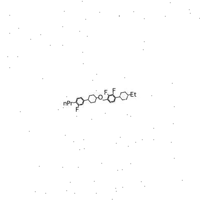 CCCc1ccc(C2CCC(OCc3ccc(C4CCC(CC)CC4)c(F)c3F)CC2)cc1F